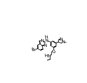 CCNCCOc1cc(Nc2ncc3cc(Br)ccc3n2)cc(C2C=NN(C)C2)c1